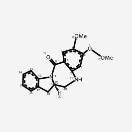 COOc1cc2c(cc1OC)C(=O)N1c3ccccc3C[C@H]1CN2